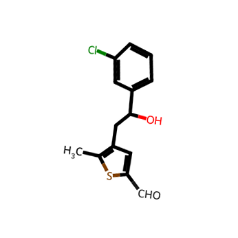 Cc1sc(C=O)cc1CC(O)c1cccc(Cl)c1